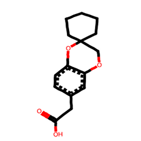 O=C(O)Cc1ccc2c(c1)OCC1(CCCCC1)O2